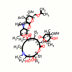 C=C(C)OC[C@H]1OC(O[C@@H]2C(N(C)C)C[C@@H](C)O[C@H]2O[C@@H]2[C@@H](C)[C@H](O[C@H]3C[C@@](C)(OC)[C@@H](O)[C@H](C)O3)[C@@H](C)C(=O)O[C@H](CC)[C@@](C)(O)[C@H](O)[C@@H](C)N(C)C[C@H](C)C[C@@]2(C)O)[C@H](OC(C)=O)[C@@H](OC(C)=O)[C@@H]1OC(C)=O